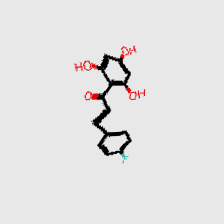 O=C(C=Cc1ccc(F)cc1)c1c(O)cc(O)cc1O